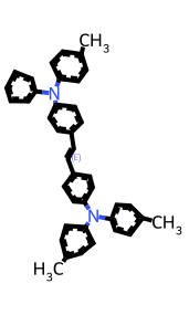 Cc1ccc(N(c2ccccc2)c2ccc(/C=C/c3ccc(N(c4ccc(C)cc4)c4ccc(C)cc4)cc3)cc2)cc1